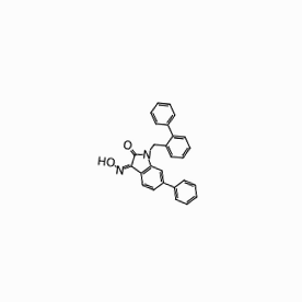 O=C1/C(=N\O)c2ccc(-c3ccccc3)cc2N1Cc1ccccc1-c1ccccc1